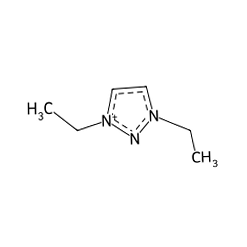 CCn1cc[n+](CC)n1